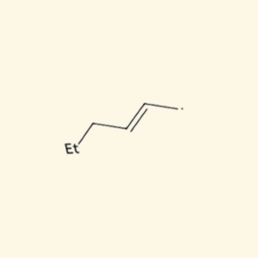 [CH2]C=CCCC